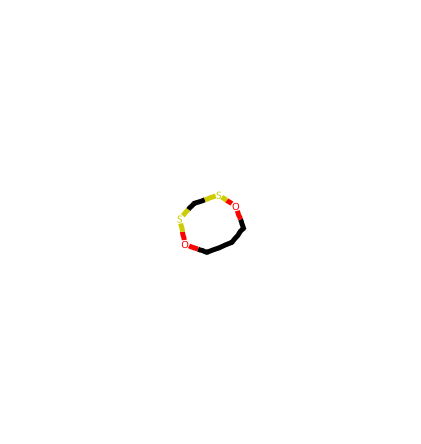 C1COSCSOC1